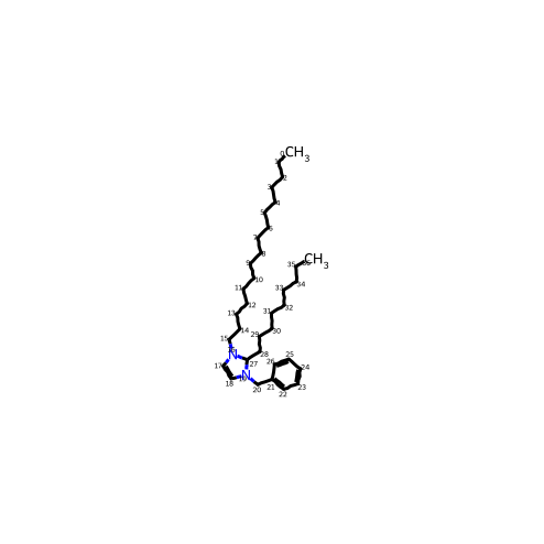 CCCCCCCCCCCCCCCCN1C=CN(Cc2ccccc2)C1CCCCCCCCC